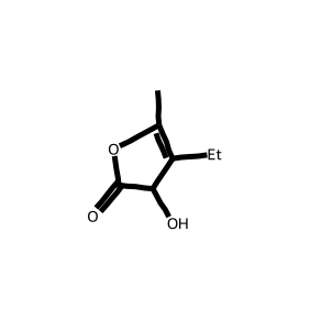 CCC1=C(C)OC(=O)C1O